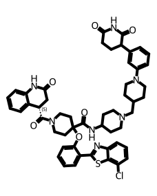 O=C1CCC(c2cccc(N3CCC(CN4CCC(NC(=O)C5(Oc6ccccc6-c6nc7cccc(Cl)c7s6)CCN(C(=O)[C@H]6CC(=O)Nc7ccccc76)CC5)CC4)CC3)c2)C(=O)N1